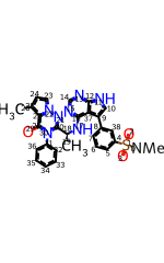 CNS(=O)(=O)c1cccc(-c2c[nH]c3ncnc(N[C@@H](C)c4nn5ccc(C)c5c(=O)n4-c4ccccc4)c23)c1